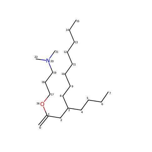 C=C(CC(CCCC)CCCCCCCC)OCCCN(C)C